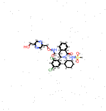 CS(=O)(=O)N[C@H]1CCCC[C@@H]1N1C(=O)c2ccccc2[C@@H](C(=O)NOCc2cnc(CO)cn2)[C@@H]1c1ccc(Cl)cc1Cl